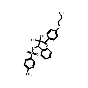 Cc1ccc(S(=O)(=O)OC(c2ccccc2)C(C)(O)C(=O)c2ccc(SCCO)cc2)cc1